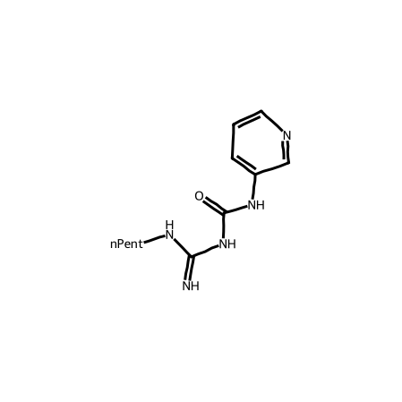 CCCCCNC(=N)NC(=O)Nc1cccnc1